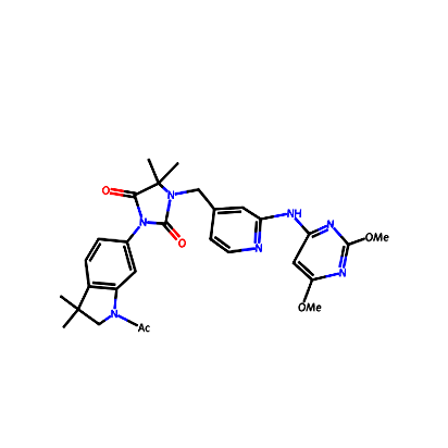 COc1cc(Nc2cc(CN3C(=O)N(c4ccc5c(c4)N(C(C)=O)CC5(C)C)C(=O)C3(C)C)ccn2)nc(OC)n1